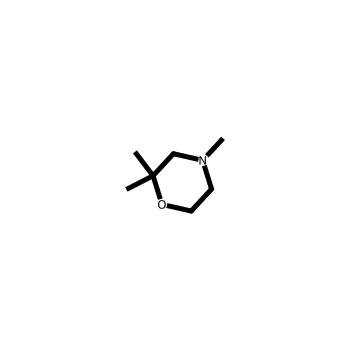 CN1CCOC(C)(C)C1